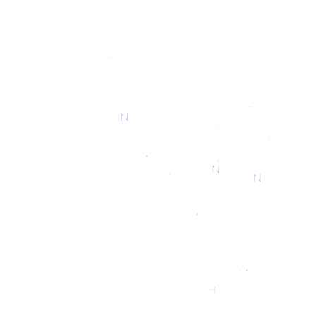 COc1ccc2c(c1)nc(C(F)(F)F)n2-c1ccc(NCc2c(F)cccc2F)cc1